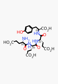 N[C@@H](CCC(=O)O)C(=O)N[C@@H](CCC(=O)O)C(=O)N[C@@H](CCC(=O)O)C(=O)N[C@@H](Cc1ccc(O)cc1)C(=O)O